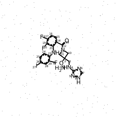 NOC1(CNc2nc[nH]n2)CN(C(=O)c2ccc(F)c(F)c2Nc2ccc(I)cc2F)C1